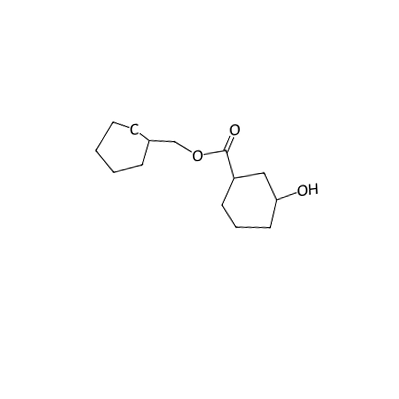 O=C(OCC1CCCCC1)C1CCCC(O)C1